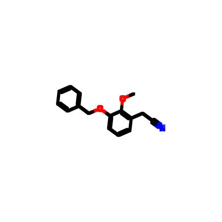 COc1c(CC#N)cccc1OCc1ccccc1